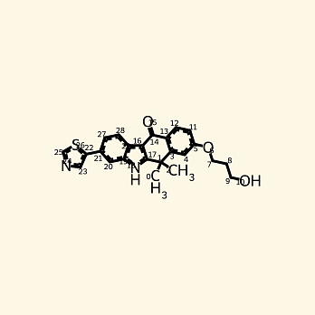 CC1(C)c2cc(OCCCO)ccc2C(=O)c2c1[nH]c1cc(-c3cncs3)ccc21